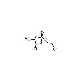 O=P1(OCCCl)CC(O)C(Cl)C1